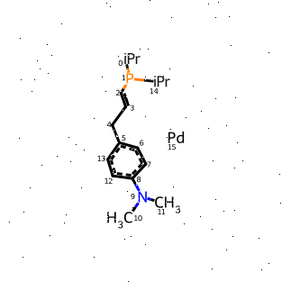 CC(C)P(C=CCc1ccc(N(C)C)cc1)C(C)C.[Pd]